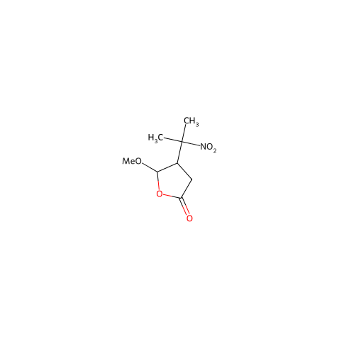 COC1OC(=O)CC1C(C)(C)[N+](=O)[O-]